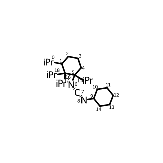 CC(C)C1CCCC(N=C=NC2CCCCC2)(C(C)C)C1(C(C)C)C(C)C